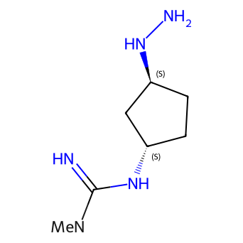 CNC(=N)N[C@H]1CC[C@H](NN)C1